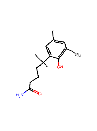 Cc1cc(C(C)(C)C)c(O)c(C(C)(C)CCCC(N)=O)c1